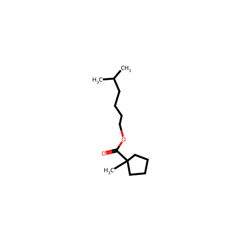 CC(C)CCCCOC(=O)C1(C)CCCC1